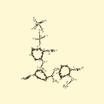 CN(C)c1ccc([N+]#N)cc1.COc1ccccc1[N+]#N.COc1ccccc1[N+]#N.F[B-](F)(F)F.O=S(=O)([O-])[O-]